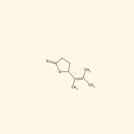 CC(C)=C(C)C1CCC(=S)O1